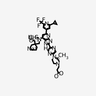 COCC1(CN(C)c2cc(-c3cc(C4CC4)nc(C(F)(F)F)c3)nc3nc(-c4cnc(N5CCN(CCC(=O)[O-])C[C@H]5C)cn4)[nH]c23)CCCCC1.[Na+]